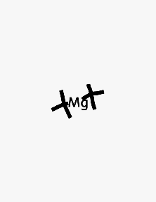 C[C](C)(C)[Mg][C](C)(C)C